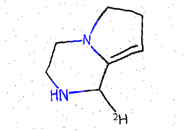 [2H]C1NCCN2CCC=C12